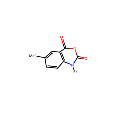 CCn1c(=O)oc(=O)c2cc(SC)ccc21